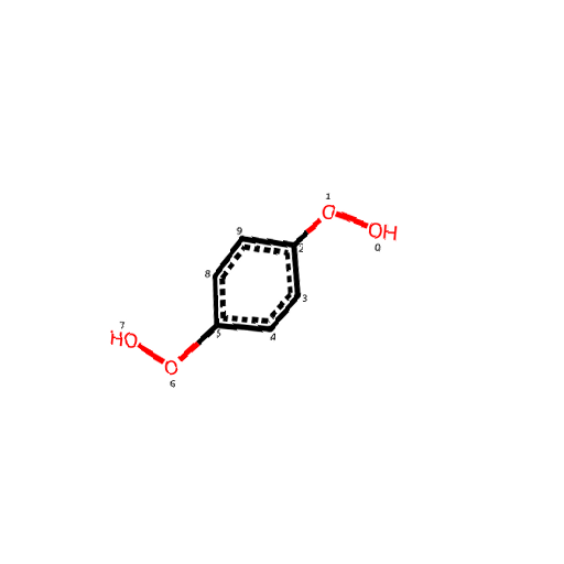 OOc1ccc(OO)cc1